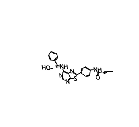 CC#CC(=O)Nc1ccc(-c2nc3c(N[C@H](CO)c4ccccc4)ncnc3s2)cc1